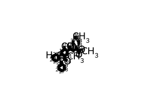 COC(=O)C(CC(=O)c1c(C)cc(C)c(C(=O)P(c2ccccc2)c2ccccc2)c1C)N1CCN(C)CC1